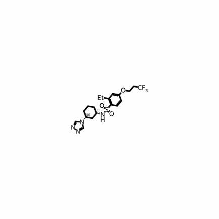 CCc1cc(OCCC(F)(F)F)ccc1S(=O)(=O)N[C@H]1CCC[C@@H](n2cnnc2)C1